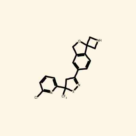 FC(F)(F)C1(c2cccc(Cl)n2)CC(c2ccc3c(c2)COC32CNC2)=NS1